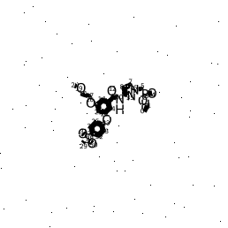 CCO[PH](=O)Cn1ccc(NC(=O)c2cc(OCCOC)cc(Oc3ccc(S(C)(=O)=O)cc3)c2)n1